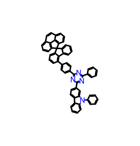 c1ccc(-c2nc(-c3ccc(-c4cccc5c4-c4ccccc4C54c5cccc6ccc7cccc4c7c56)cc3)nc(-c3ccc4c5ccccc5n(-c5ccccc5)c4c3)n2)cc1